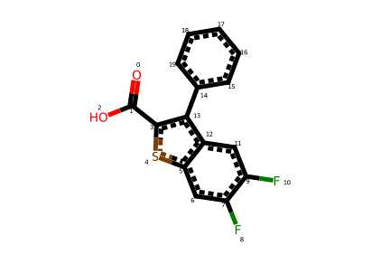 O=C(O)c1sc2cc(F)c(F)cc2c1-c1ccccc1